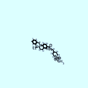 CCOc1ccccc1CN1CCCc2cc(C(=O)NCC3CCN(S(C)(=O)=O)CC3)ccc21